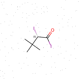 CC(C)(C)[C@H](I)C(=O)I